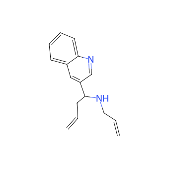 C=CCNC(CC=C)c1cnc2ccccc2c1